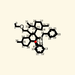 CCOCCC(=C(C(Cc1ccccc1)NCc1ccccc1)C1CC(C)CCC1C(C)C)C1CC(C)CCC1C(C)C